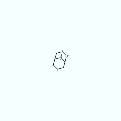 C1CC2CCOC(C1)N2